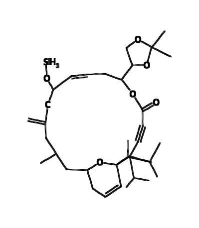 C=C1CC(C)CC2CC=CC(C(C)C)(O2)C(C(C)C)(C(C)C)C#CC(=O)OC(C2COC(C)(C)O2)CC=CC(O[SiH3])C1